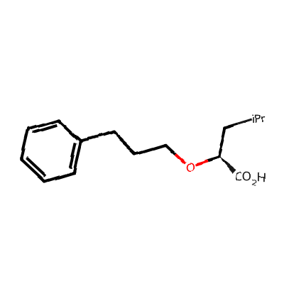 CC(C)C[C@H](OCCCc1ccccc1)C(=O)O